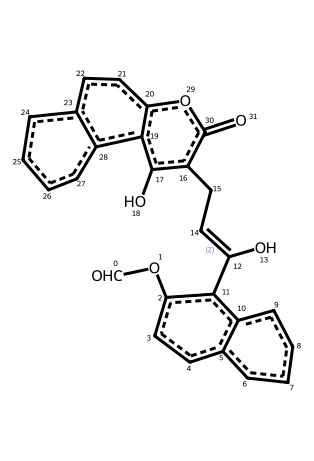 O=COc1ccc2ccccc2c1/C(O)=C/Cc1c(O)c2c(ccc3ccccc32)oc1=O